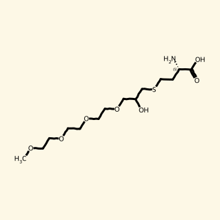 COCCOCCOCCOCC(O)CSCC[C@H](N)C(=O)O